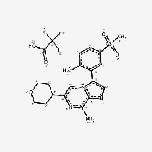 Cc1ccc(S(C)(=O)=O)cc1-c1cnc2c(N)nc(C3CCOCC3)cn12.O=C(O)C(F)(F)F